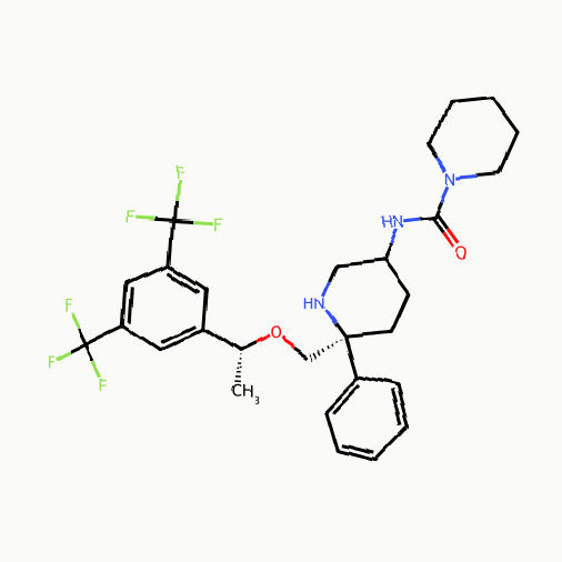 C[C@@H](OC[C@@]1(c2ccccc2)CCC(NC(=O)N2CCCCC2)CN1)c1cc(C(F)(F)F)cc(C(F)(F)F)c1